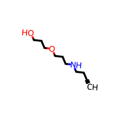 C#CCCNCCCOCCCO